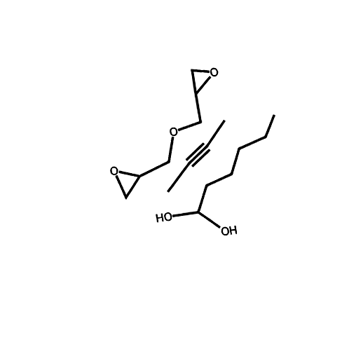 C(OCC1CO1)C1CO1.CC#CC.CCCCCC(O)O